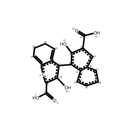 O=C(O)c1cc2c(c(-c3c(O)c(C(=O)O)cc4ccccc34)c1O)=CCCC=2